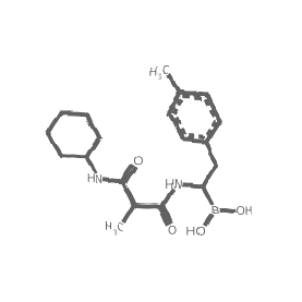 Cc1ccc(CC(NC(=O)C(C)C(=O)NC2CCCCC2)B(O)O)cc1